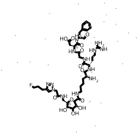 N=C(N)NCCC[C@H](NC(=O)[C@@H](N)CCCCNC(=O)C1O[C@H](CNC(=O)Cn2cc(CCCF)nn2)C(O)C(O)[C@@H]1O)C(=O)NCC(=O)N[C@@H](CC(=O)O)C(=O)NN(C=O)Cc1ccccc1